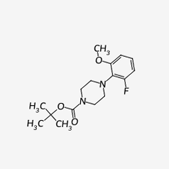 COc1cccc(F)c1N1CCN(C(=O)OC(C)(C)C)CC1